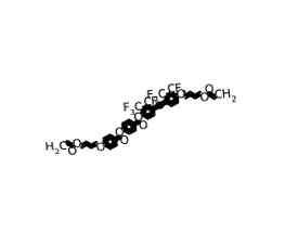 C=CC(=O)OCCCCOc1ccc(C(=O)Oc2ccc(C(=O)Oc3ccc(C#Cc4ccc(OCCCCOC(=O)C=C)c(C(F)(F)F)c4C(F)(F)F)c(C(F)(F)F)c3C(F)(F)F)cc2)cc1